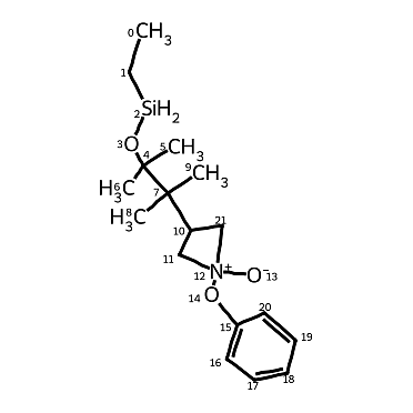 CC[SiH2]OC(C)(C)C(C)(C)C1C[N+]([O-])(Oc2ccccc2)C1